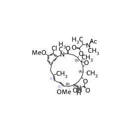 COc1cc2cc(c1Cl)N(C)C(=O)C[C@H](OC(=O)C(C)N(C)C(C)=O)C1(C)OC1[C@H](C)C1C[C@@](O)(NC(=O)O1)[C@H](OC)/C=C/C=C(\C)C2